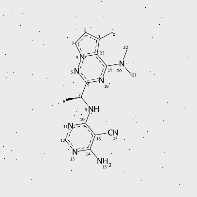 Cc1ccn2nc([C@H](C)Nc3ncnc(N)c3C#N)nc(N(C)C)c12